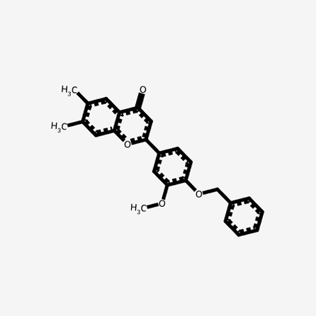 COc1cc(-c2cc(=O)c3cc(C)c(C)cc3o2)ccc1OCc1ccccc1